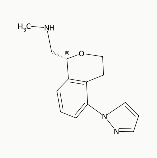 CNC[C@@H]1OCCc2c1cccc2-n1cccn1